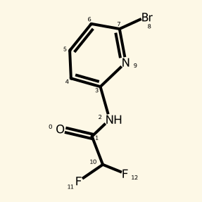 O=C(Nc1cccc(Br)n1)C(F)F